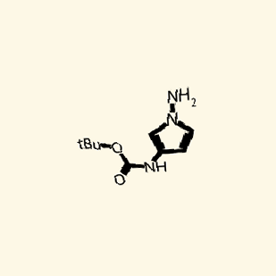 CC(C)(C)OC(=O)Nc1ccn(N)c1